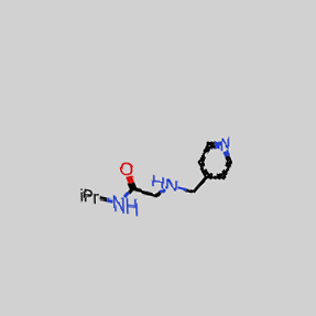 CC(C)NC(=O)CNCc1ccncc1